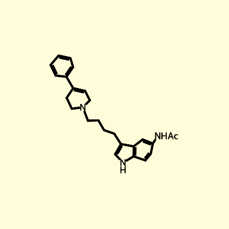 CC(=O)Nc1ccc2[nH]cc(CCCCN3CC=C(c4ccccc4)CC3)c2c1